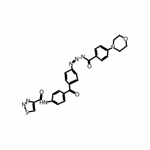 O=C(N=[N+]=Nc1ccc(C(=O)c2ccc(NC(=O)c3csnn3)cc2)cc1)c1ccc(N2CCOCC2)cc1